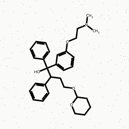 CN(C)CCOc1cccc(C(O)(c2ccccc2)C(CCOC2CCCCO2)c2ccccc2)c1